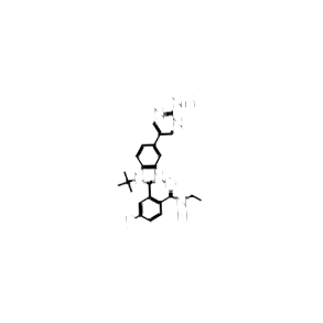 CCNC(=O)c1ccc(F)cc1-c1nc2cc(-c3cnc(N)nc3)ccc2n1C(C)(C)C